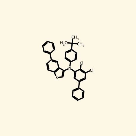 CC(C)(C)c1ccc(N(c2cc(-c3ccccc3)cc(Cl)c2Cl)c2csc3ccc(-c4ccccc4)cc23)cc1